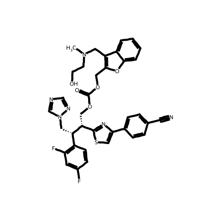 CN(CCO)Cc1c(COC(=O)OC[C@H](c2nc(-c3ccc(C#N)cc3)cs2)[C@@H](Cn2cncn2)c2ccc(F)cc2F)oc2ccccc12